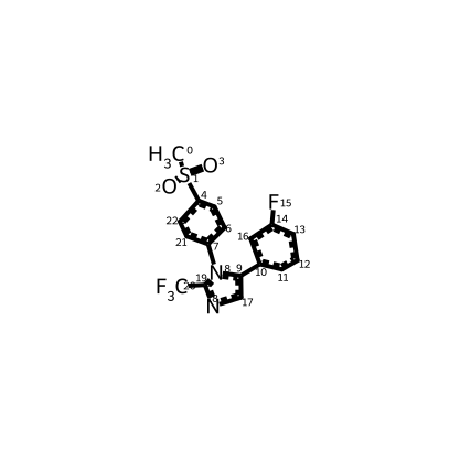 CS(=O)(=O)c1ccc(-n2c(-c3cccc(F)c3)cnc2C(F)(F)F)cc1